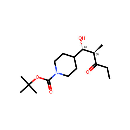 CCC(=O)[C@H](C)[C@@H](O)C1CCN(C(=O)OC(C)(C)C)CC1